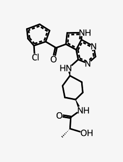 C[C@@H](O)C(=O)N[C@H]1CC[C@@H](Nc2ncnc3[nH]cc(C(=O)c4ccccc4Cl)c23)CC1